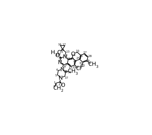 C=CC(=O)N1CCN(c2nc(=O)n(CC3(C)CC3)c3c4c(c(Cl)cc23)-c2c(ccc(C)c2F)CO4)[C@@H](C)C1